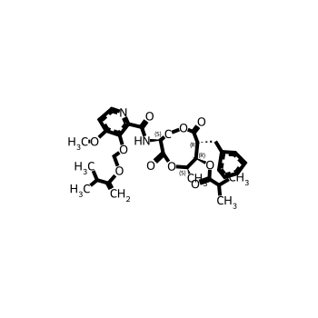 C=C(OCOc1c(OC)ccnc1C(=O)N[C@H]1COC(=O)[C@H](Cc2ccccc2)[C@@H](OC(=O)C(C)C)[C@H](C)OC1=O)C(C)C